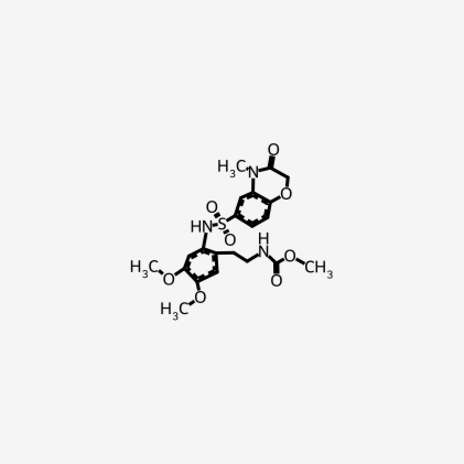 COC(=O)NCCc1cc(OC)c(OC)cc1NS(=O)(=O)c1ccc2c(c1)N(C)C(=O)CO2